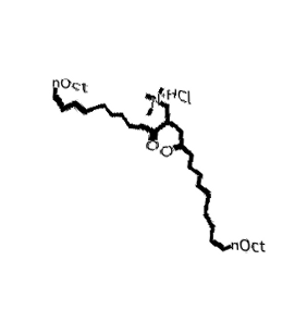 CCCCCCCC/C=C\CCCCCCCC(=O)CC(C[N+](C)(C)C)C(=O)CCCCCCC/C=C\CCCCCCCC.Cl